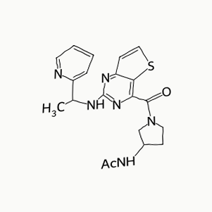 CC(=O)NC1CCN(C(=O)c2nc(NC(C)c3ccccn3)nc3ccsc23)C1